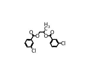 CC(COC(=O)c1cccc(Cl)c1)OC(=O)c1cccc(Cl)c1